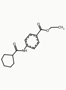 CCOC(=O)c1ccc(NC(=O)C2CCCCC2)cc1